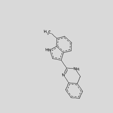 Cc1cccc2c(C3=Nc4ccccc4CN3)c[nH]c12